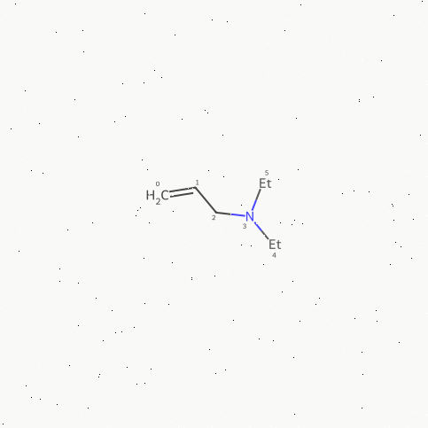 C=CCN(CC)CC